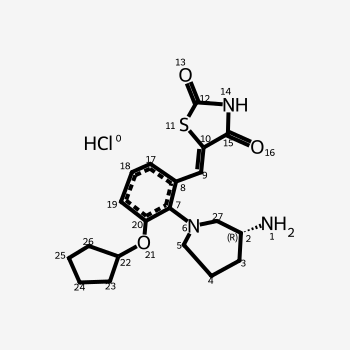 Cl.N[C@@H]1CCCN(c2c(C=C3SC(=O)NC3=O)cccc2OC2CCCC2)C1